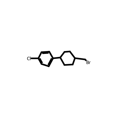 Clc1ccc(C2CCC(CBr)CC2)cc1